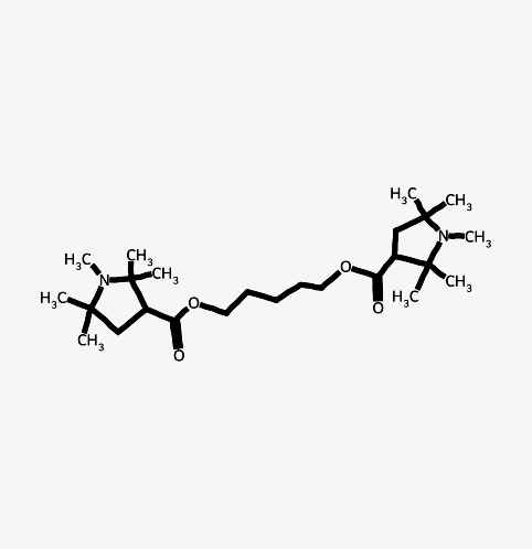 CN1C(C)(C)CC(C(=O)OCCCCCOC(=O)C2CC(C)(C)N(C)C2(C)C)C1(C)C